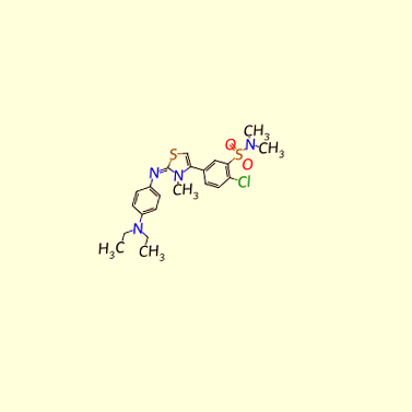 CCN(CC)c1ccc(N=c2scc(-c3ccc(Cl)c(S(=O)(=O)N(C)C)c3)n2C)cc1